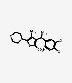 Nc1c(N2CCOCC2)sc(C(=O)O)c1C(N)c1ccc(Cl)c(Cl)c1